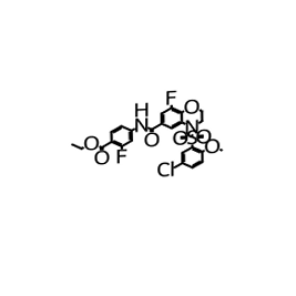 CCOC(=O)c1ccc(NC(=O)c2cc(F)c3c(c2)N(S(=O)(=O)c2cc(Cl)ccc2OC)CCO3)cc1F